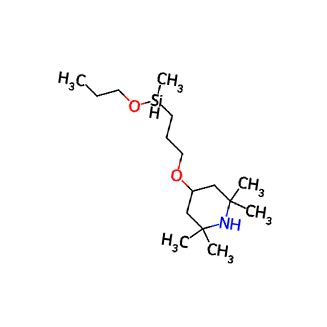 CCCO[SiH](C)CCCOC1CC(C)(C)NC(C)(C)C1